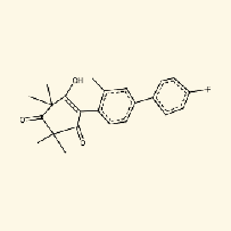 Cc1cc(-c2ccc(F)cc2)ccc1C1=C(O)C(C)(C)C(=O)C(C)(C)C1=O